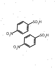 O=[N+]([O-])c1ccc(S(=O)(=O)O)cc1.O=[N+]([O-])c1ccc(S(=O)(=O)O)cc1